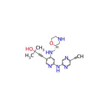 C#Cc1cnc(Nc2cc(NC[C@H]3CNCCO3)c(C#CC(C)(C)O)cn2)cn1